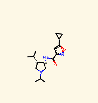 CC(C)[C@H]1CN(C(C)C)C[C@H]1NC(=O)c1cc(C2CC2)on1